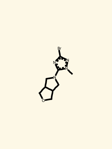 Cn1nc(Br)nc1N1CC2COCC2C1